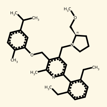 CCc1cccc(CC)c1-c1cc(CN2CCC[C@@H]2COC)c(COc2cc(C(C)C)ccc2C)c(C)n1